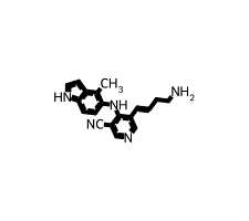 Cc1c(Nc2c(C#N)cncc2C=CCCN)ccc2[nH]ccc12